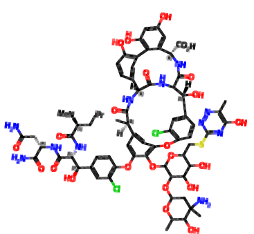 CN[C@@H](CC(C)C)C(=O)N[C@@H](C(=O)N[C@@H](CC(N)=O)C(N)=O)[C@H](O)c1ccc(Oc2cc3cc(c2OC2OC(CSc4nnc(C)c(O)n4)C(O)C(O)C2OC2CC(C)(N)C(O)C(C)O2)Oc2ccc(cc2Cl)[C@@H](O)C2NC(=O)[C@H](NC(=O)[C@@H]3C)c3ccc(O)c(c3)-c3c(O)cc(O)cc3[C@H](C(=O)O)NC2=O)c(Cl)c1